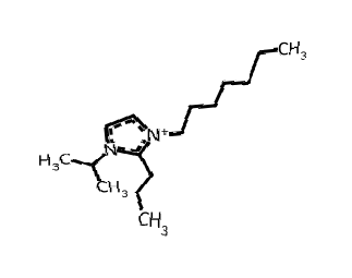 CCCCCCC[n+]1ccn(C(C)C)c1CCC